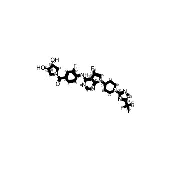 O=C(c1ccc(Nc2ncnc3c2c(F)cn3C2CCN(c3noc(C(F)(F)F)n3)CC2)c(F)c1)N1C[C@@H](O)[C@H](O)C1